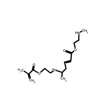 C=C(C)C(=O)OCCNC(C)C/C=C/C(=O)OCCNC